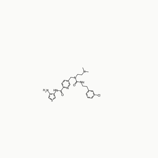 CN(C)CCN(Cc1ccc(C(=O)Nc2cscc2N)nc1)C(=O)NCCc1cccc(Cl)c1